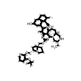 C#Cc1c(F)ccc2cc(O)cc(-c3nc4c5c(nc(OC[C@@]67CCCN6[C@H](COc6ncccc6OC(F)(F)F)CC7)nc5c3F)N3C[C@@H](CC)NC[C@H]3CC4)c12